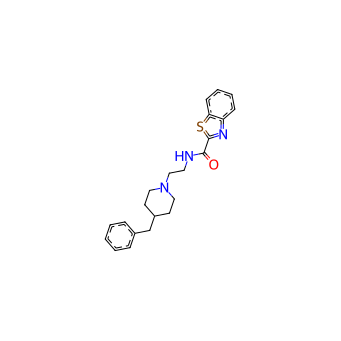 O=C(NCCN1CCC(Cc2ccccc2)CC1)c1nc2ccccc2s1